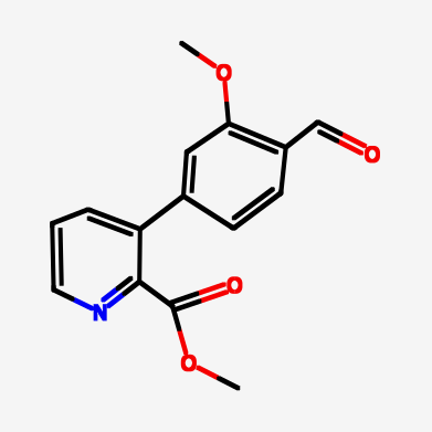 COC(=O)c1ncccc1-c1ccc(C=O)c(OC)c1